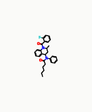 CCCCCC(=O)N(c1ccccc1)C1CC(C)N(C(=O)c2ccccc2F)c2ccccc21